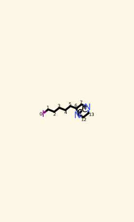 ICCCCCC1CN2CCN1CC2